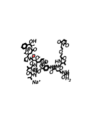 CC[C@H](C)[C@@H]([C@@H](CC(=O)N1CCC[C@H]1[C@H](OC)[C@@H](C)C(=O)N[C@H](C)[C@@H](O)c1ccccc1)OC)N(C)C(=O)[C@@H](NC(=O)[C@H](C(C)C)N(C)C(=O)OCc1ccc(NC(=O)[C@H](CCCNC(N)=O)NC(=O)[C@@H](NC(=O)CCOCCN2C(=O)C=CC2=O)C(C)C)cc1S(=O)(=O)[O-])C(C)C.[Na+]